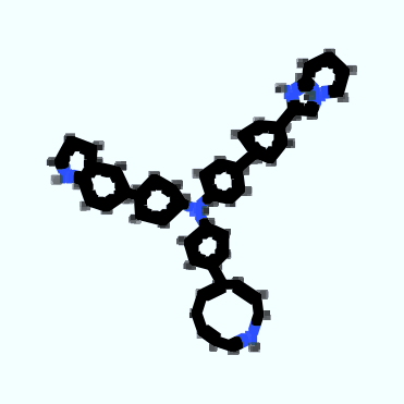 C1=C\C/C=C(c2ccc(N(c3ccc(-c4ccc(-c5cn6ccccc6n5)cc4)cc3)c3ccc(-c4ccc5ncccc5c4)cc3)cc2)\C=C/C\N=C/1